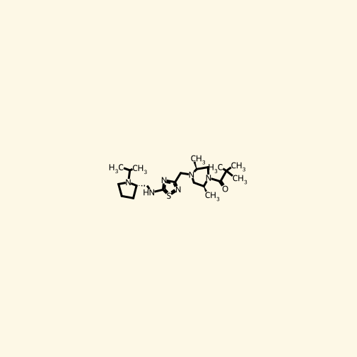 CC(C)N1CCC[C@H]1CNc1nc(CN2C[C@H](C)N(C(=O)C(C)(C)C)C[C@@H]2C)ns1